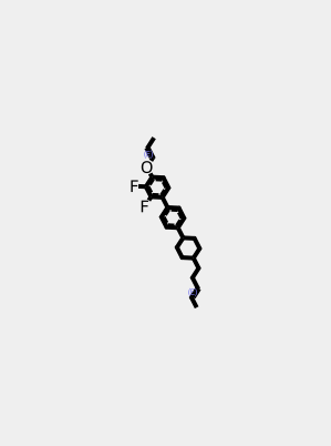 C/C=C/CCC1CCC(c2ccc(-c3ccc(O/C=C/C)c(F)c3F)cc2)CC1